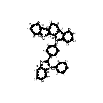 c1ccc(-n2c(-c3ccc(-n4c5ccccc5c5ccc6c7ccccc7oc6c54)cc3)nc3ccccc32)cc1